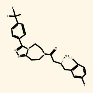 N[C@@H](CC(=O)N1CCc2nnc(-c3ccc(C(F)(F)F)cc3)n2CC1)Cc1cc(F)ccc1F